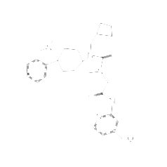 CSc1ccnc(NC(=O)CN2C[C@]3(CC[C@@](c4ccccc4)(N(C)C)CC3)N(CC3CCC3)C2=O)c1